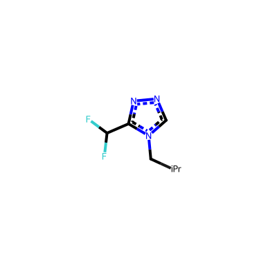 CC(C)Cn1cnnc1C(F)F